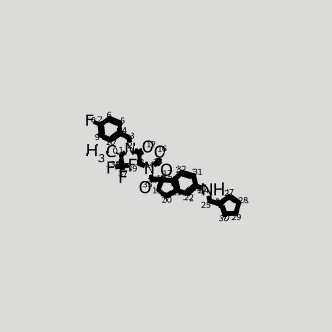 C[C@H](N(Cc1ccc(F)cc1)C(=O)CN1C(=O)OC2(CCc3cc(NCC4CCCC4)ccc32)C1=O)C(F)(F)F